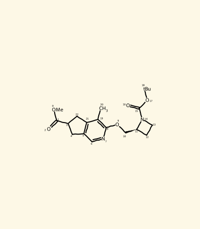 COC(=O)C1Cc2cnc(OC[C@@H]3CCN3C(=O)OC(C)(C)C)c(C)c2C1